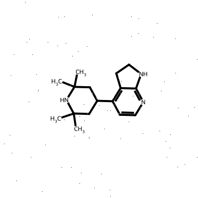 CC1(C)CC(c2ccnc3c2CCN3)CC(C)(C)N1